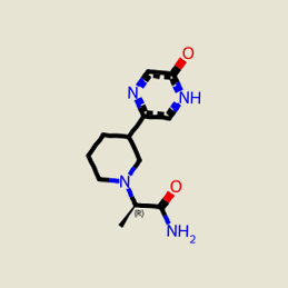 C[C@H](C(N)=O)N1CCCC(c2c[nH]c(=O)cn2)C1